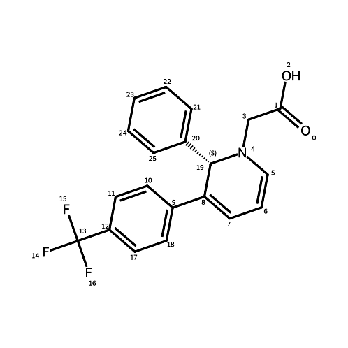 O=C(O)CN1C=CC=C(c2ccc(C(F)(F)F)cc2)[C@@H]1c1ccccc1